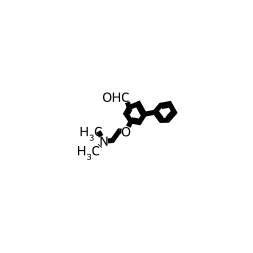 CN(C)CCOc1cc(C=O)cc(-c2ccccc2)c1